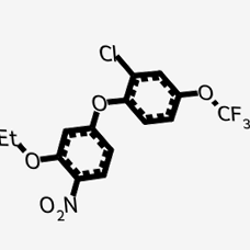 CCOc1cc(Oc2ccc(OC(F)(F)F)cc2Cl)ccc1[N+](=O)[O-]